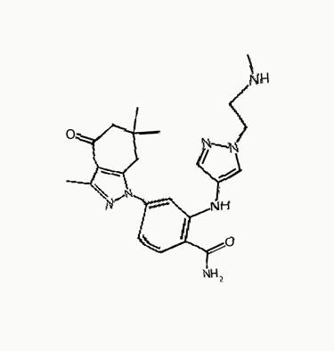 CNCCn1cc(Nc2cc(-n3nc(C)c4c3CC(C)(C)CC4=O)ccc2C(N)=O)cn1